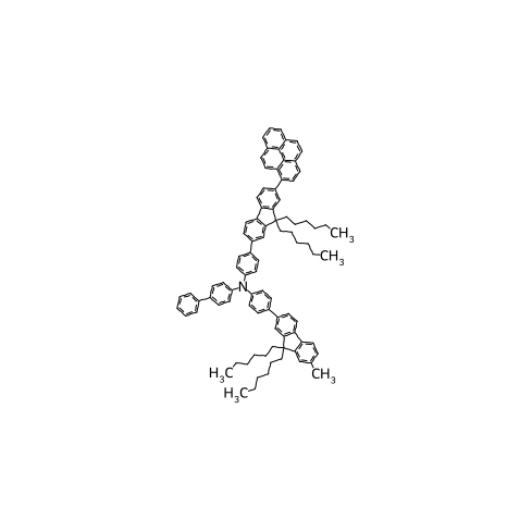 CCCCCCC1(CCCCCC)c2cc(C)ccc2-c2ccc(-c3ccc(N(c4ccc(-c5ccccc5)cc4)c4ccc(-c5ccc6c(c5)C(CCCCCC)(CCCCCC)c5cc(-c7ccc8ccc9cccc%10ccc7c8c9%10)ccc5-6)cc4)cc3)cc21